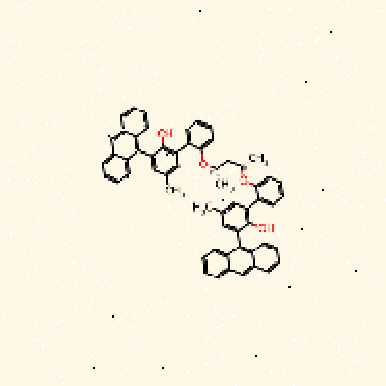 Cc1cc(-c2ccccc2O[C@@H](C)C[C@H](C)Oc2ccccc2-c2cc(C)cc(-c3c4ccccc4cc4ccccc34)c2O)c(O)c(-c2c3ccccc3cc3ccccc23)c1